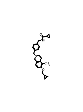 Cc1c(OCC2CC2)ccc2c1CCN(Cc1ccc(CNC(=O)C3CC3)cc1)C2